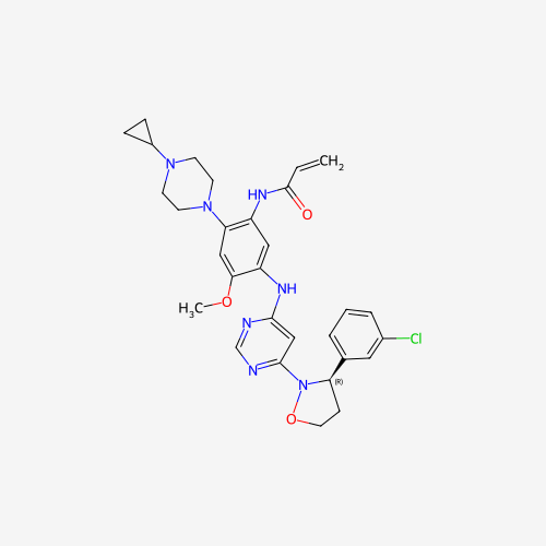 C=CC(=O)Nc1cc(Nc2cc(N3OCC[C@@H]3c3cccc(Cl)c3)ncn2)c(OC)cc1N1CCN(C2CC2)CC1